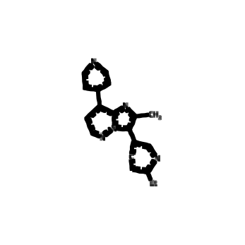 CCc1ccc(-c2c(C)nc3c(-c4ccncc4)ccnn23)cn1